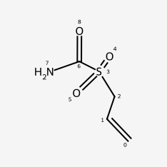 C=CCS(=O)(=O)C(N)=O